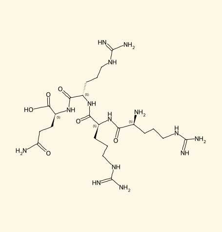 N=C(N)NCCC[C@H](NC(=O)[C@H](CCCNC(=N)N)NC(=O)[C@@H](N)CCCNC(=N)N)C(=O)N[C@@H](CCC(N)=O)C(=O)O